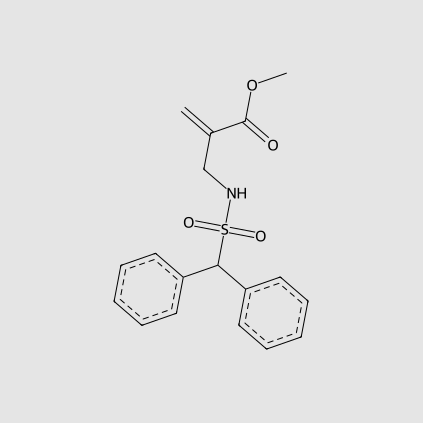 C=C(CNS(=O)(=O)C(c1ccccc1)c1ccccc1)C(=O)OC